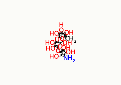 C[C@H]1O[C@@H](O[C@H]2[C@H](O)[C@@H](O)[C@@H](O[C@H]3[C@H](O)[C@@H](O)[C@H](N)[C@@H]3CO)O[C@@H]2CO)[C@H](O)[C@@H](O)[C@@H]1O